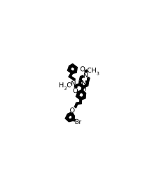 CC(=O)N1CC2CC(c3ccc(CCCOc4cccc(Br)c4)cc3)=C(C(=O)N(C)CCc3ccccc3)C(C1)N2